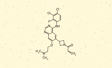 C=CC(=O)N1CC(c2cc3c(Nc4ccc(Cl)c(Cl)c4F)ncnc3cc2OCCN(C)C)C1